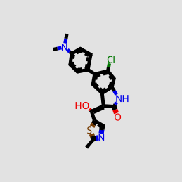 Cc1ncc(/C(O)=C2\C(=O)Nc3cc(Cl)c(-c4ccc(N(C)C)cc4)cc32)s1